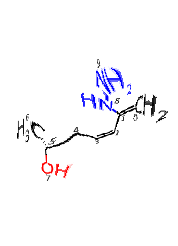 C=C(/C=C\C[C@@H](C)O)NN